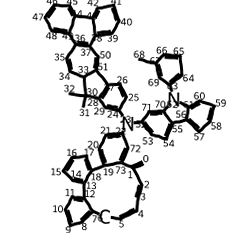 C=C1/C=C\C=C/Cc2ccccc2-c2ccccc2-c2ccc(N(c3ccc4c(c3)C(C)(C)C3C=Cc5c(c6ccccc6c6ccccc56)C=C43)c3ccc4c5ccccc5n(-c5cccc(C)c5)c4c3)cc21